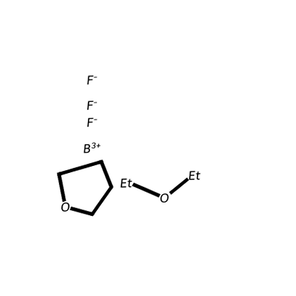 C1CCOC1.CCOCC.[B+3].[F-].[F-].[F-]